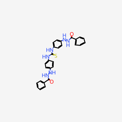 O=C(NNc1ccc(NC(=S)Nc2ccc(NNC(=O)c3ccccc3)cc2)cc1)c1ccccc1